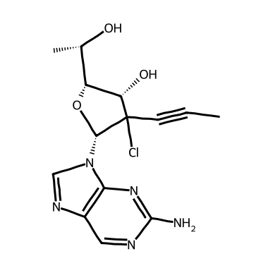 CC#CC1(Cl)[C@@H](O)[C@@H]([C@H](C)O)O[C@H]1n1cnc2cnc(N)nc21